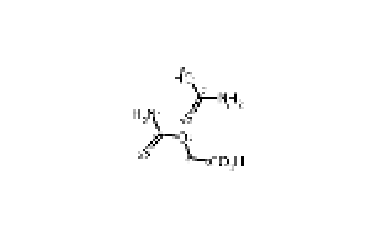 NC(=S)OCC(=O)O.NC(O)=S